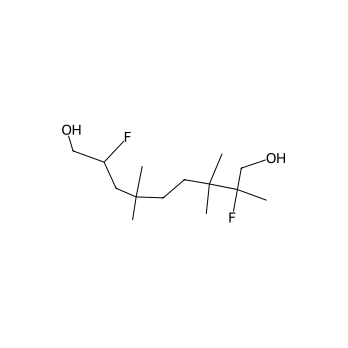 CC(C)(CCC(C)(C)C(C)(F)CO)CC(F)CO